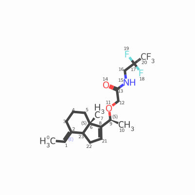 C/C=C1\CCC[C@]2(C)C([C@H](C)OCC(=O)NCC(F)(F)C(F)(F)F)=CCC12